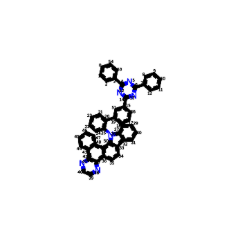 c1ccc(-c2nc(-c3ccccc3)nc(-c3cccc(-c4ccccc4-n4c5ccccc5c5ccc6c7nccnc7c7ccccc7c6c54)c3)n2)cc1